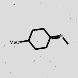 CN=C1CCC(OC)CC1